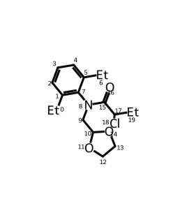 CCc1cccc(CC)c1N(CC1OCCO1)C(=O)C(Cl)CC